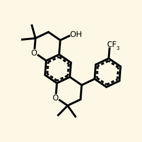 CC1(C)CC(O)c2cc3c(cc2O1)OC(C)(C)CC3c1cccc(C(F)(F)F)c1